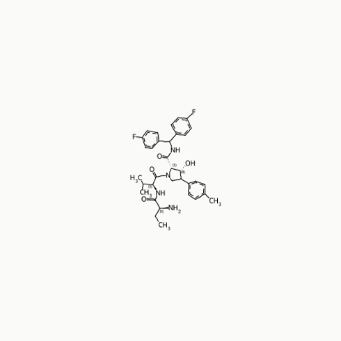 CC[C@H](N)C(=O)N[C@H](C(=O)N1CC(c2ccc(C)cc2)[C@@H](O)[C@H]1C(=O)NC(c1ccc(F)cc1)c1ccc(F)cc1)C(C)C